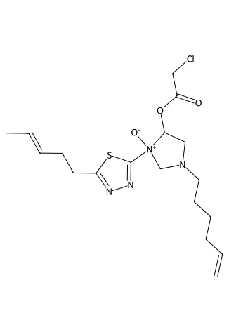 C=CCCCCN1CC(OC(=O)CCl)[N+]([O-])(c2nnc(CCC=CC)s2)C1